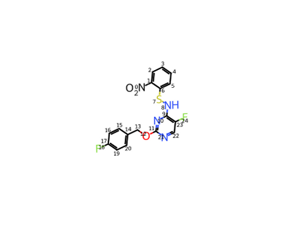 O=[N+]([O-])c1ccccc1SNc1nc(OCc2ccc(F)cc2)ncc1F